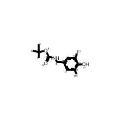 CC(C)(C)OC(=O)NCc1cc(I)c(O)c(I)c1